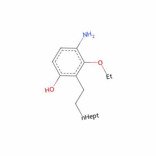 CCCCCCCCCc1c(O)ccc(N)c1OCC